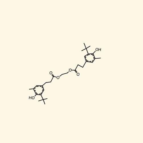 Cc1cc(CCC(=O)OCCOC(=O)CCc2cc(C)c(O)c(C(C)(C)C)c2)cc(C(C)(C)C)c1O